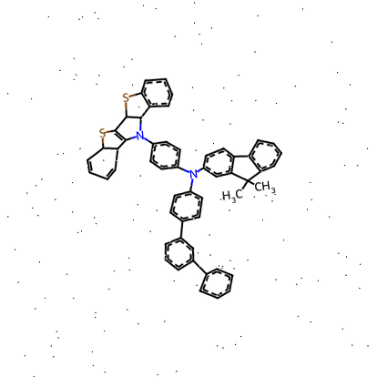 CC1(C)c2ccccc2-c2ccc(N(c3ccc(-c4cccc(-c5ccccc5)c4)cc3)c3ccc(N4C5=C(SC6C=CC=CC56)C5Sc6ccccc6C54)cc3)cc21